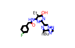 CCCCc1nc(-c2nc(O)c(CC)c(NC(=O)Cc3ccc(F)cc3)n2)cn2ncnc12